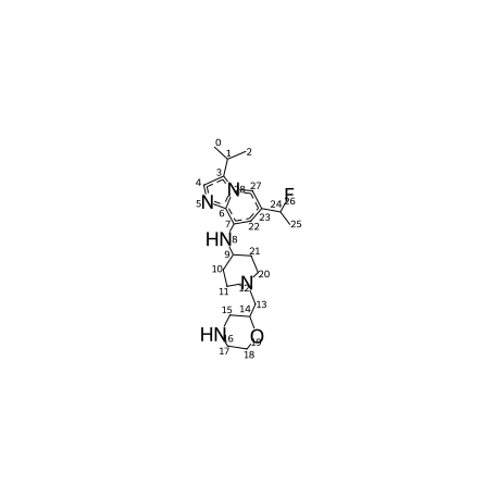 CC(C)c1cnc2c(NC3CCN(CC4CNCCO4)CC3)cc(C(C)F)cn12